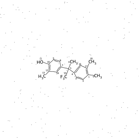 Cc1ccc(C(C)(c2ccc(O)c(C)c2)C(F)(F)F)cc1C